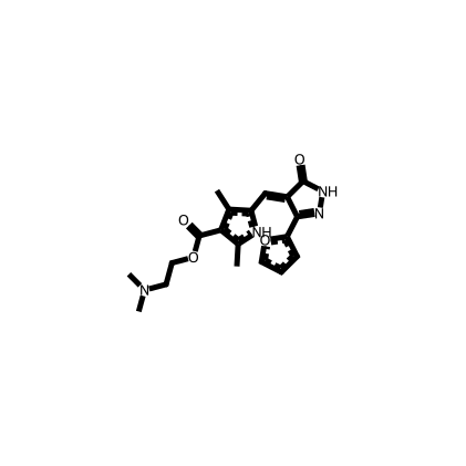 Cc1[nH]c(/C=C2/C(=O)NN=C2c2ccco2)c(C)c1C(=O)OCCN(C)C